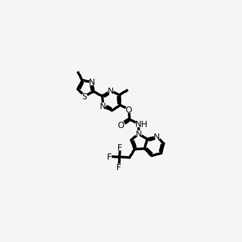 Cc1csc(-c2ncc(OC(=O)Nn3cc(CC(F)(F)F)c4cccnc43)c(C)n2)n1